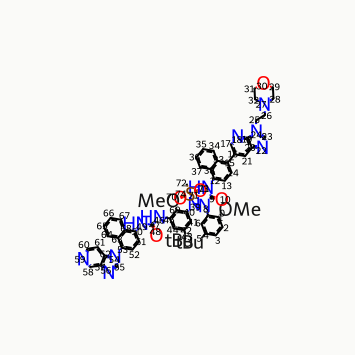 COc1ccc(C(C)(C)C)cc1N(C(=O)Nc1ccc(-c2cnc3c(c2)ncn3CCN2CCOCC2)c2ccccc12)N(c1cc(C(C)(C)C)cc(NC(=O)Nc2ccc(-n3cnc4cnccc43)c3ccccc23)c1OC)S(C)(=O)=O